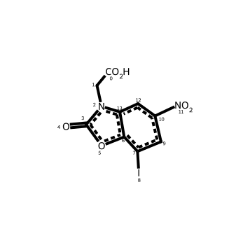 O=C(O)Cn1c(=O)oc2c(I)cc([N+](=O)[O-])cc21